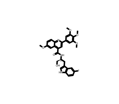 COc1ccc2nc(-c3cc(OC)c(OC)c(OC)c3)cc(C(=O)N[C@H](CO)Cc3c[nH]c4ccc(F)cc34)c2c1